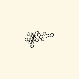 c1ccc(-c2nc(-c3ccccc3)nc(N(c3cccc(-c4c5ccccc5c(-c5cccc6c5ccc5cc7ccccc7cc56)c5ccccc45)c3)c3nc(-c4ccccc4)nc(-c4ccccc4)n3)n2)cc1